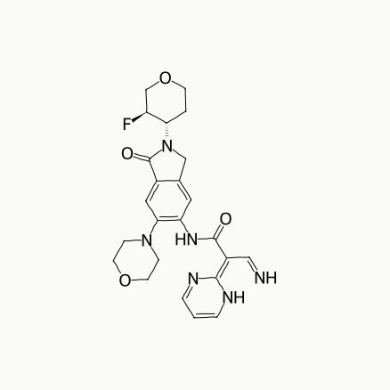 N=C/C(C(=O)Nc1cc2c(cc1N1CCOCC1)C(=O)N([C@H]1CCOC[C@@H]1F)C2)=C1/N=CC=CN1